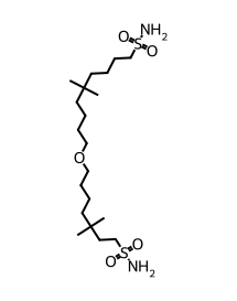 CC(C)(CCCCOCCCCC(C)(C)CCS(N)(=O)=O)CCCCS(N)(=O)=O